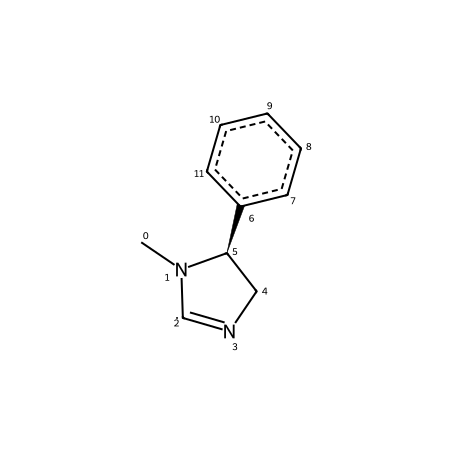 CN1[C]=NC[C@@H]1c1ccccc1